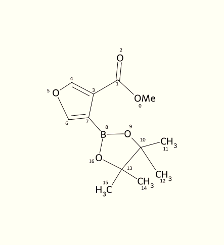 COC(=O)c1cocc1B1OC(C)(C)C(C)(C)O1